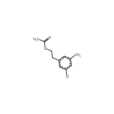 CC(=O)OCCc1cc(C)cc(Cl)c1